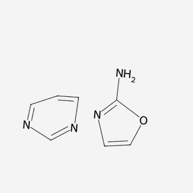 Nc1ncco1.c1cncnc1